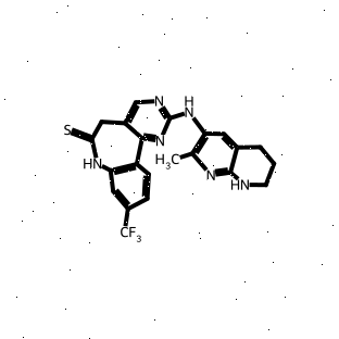 Cc1nc2c(cc1Nc1ncc3c(n1)-c1ccc(C(F)(F)F)cc1NC(=S)C3)CCCN2